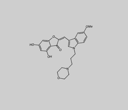 COc1ccc2c(c1)c(C=C1Oc3cc(O)cc(O)c3C1=O)cn2CCCN1CCOCC1